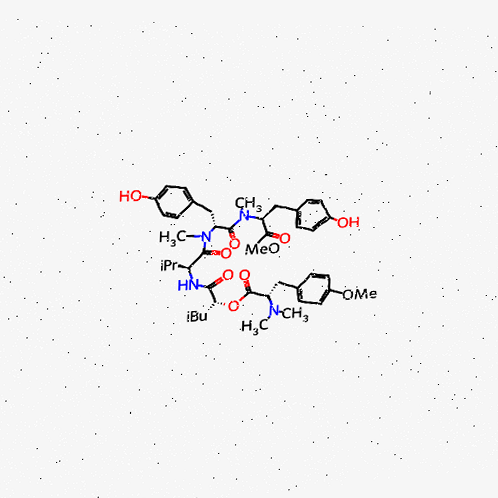 CC[C@@H](C)[C@@H](OC(=O)[C@H](Cc1ccc(OC)cc1)N(C)C)C(=O)N[C@H](C(=O)N(C)[C@H](Cc1ccc(O)cc1)C(=O)N(C)[C@@H](Cc1ccc(O)cc1)C(=O)OC)C(C)C